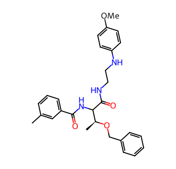 COc1ccc(NCCNC(=O)C(NC(=O)c2cccc(C)c2)[C@H](C)OCc2ccccc2)cc1